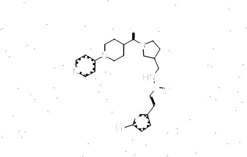 O=C(C1CCN(c2ccncc2)CC1)N1CCC(CN[S+]([O-])/C=C/c2ccc(Br)s2)C1